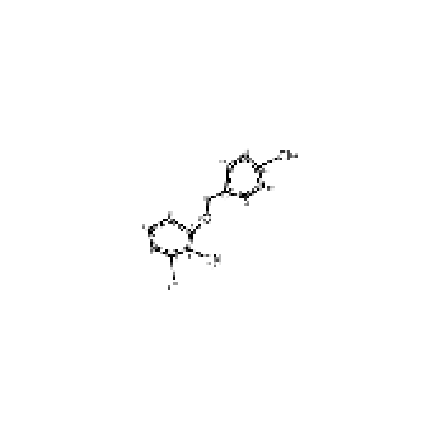 N#Cc1c(F)cccc1OCc1ccc(Cl)cc1